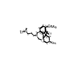 CCN(C)CCCN1CC[C@]2(C=CC(O)CC2(C)C)c2c(ccc(OC)c2C)C1